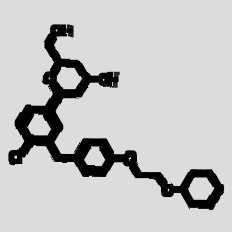 OCC1CC(O)CC(c2ccc(Cl)c(Cc3ccc(OCCOC4CCCCC4)cc3)c2)O1